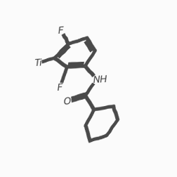 O=C(Nc1ccc(F)[c]([Ti])c1F)C1CCCCC1